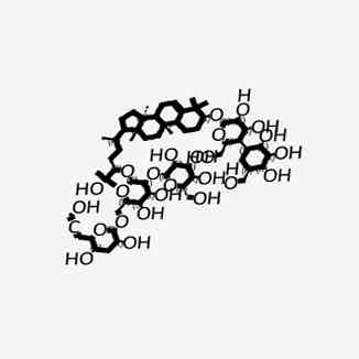 C[C@H](CC[C@@H](O[C@@H]1O[C@H](CO[C@@H]2OC(C=C=CO)[C@@H](O)C[C@H]2O)[C@@H](O)[C@H](O)[C@H]1O[C@H]1O[C@@H](CO)[C@H](O)[C@@H](O)[C@@H]1O)C(C)(C)O)C1CC[C@@]2(C)C3CC=C4C(CC[C@H](O[C@@H]5O[C@H](CO)C([C@@H]6C[C@H](CO)[C@@H](O)[C@H](O)[C@H]6O)[C@H](O)[C@H]5O)C4(C)C)[C@]3(C)CC[C@]12C